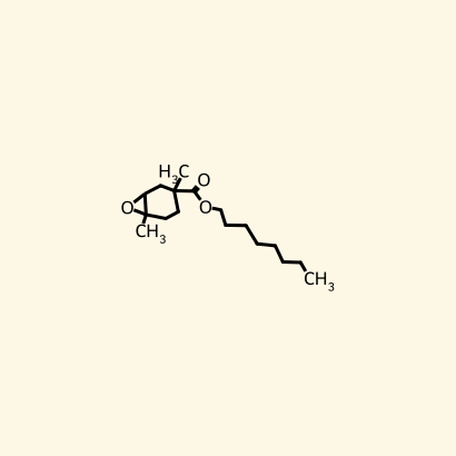 CCCCCCCCOC(=O)C1(C)CCC2(C)OC2C1